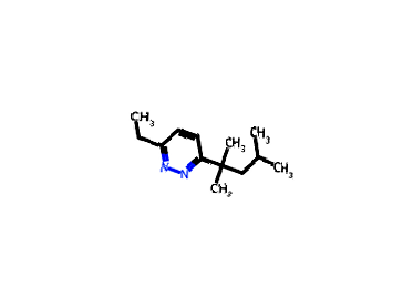 CCc1ccc(C(C)(C)CC(C)C)nn1